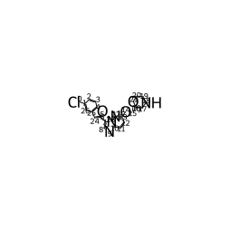 Clc1ccc2oc(-c3cnc4ccc(OC[C@H]5CNCCO5)nn34)cc2c1